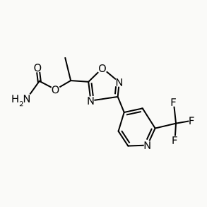 CC(OC(N)=O)c1nc(-c2ccnc(C(F)(F)F)c2)no1